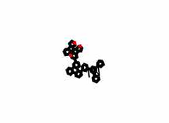 C1=Cc2c(c3cccc(-c4cccc(-c5cc(-c6ccccc6)nc(-c6ccccc6)n5)c4)c3c3ccc(-c4ccc5c(c4)-c4ccccc4C54c5ccccc5-c5ccccc54)cc23)CC1